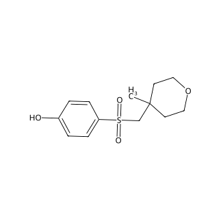 CC1(CS(=O)(=O)c2ccc(O)cc2)CCOCC1